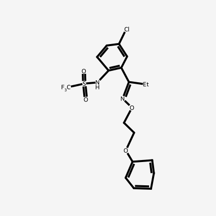 CC/C(=N\OCCOc1ccccc1)c1cc(Cl)ccc1NS(=O)(=O)C(F)(F)F